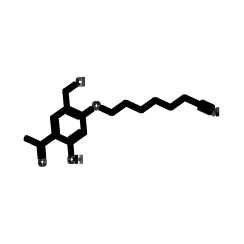 CC(=O)c1cc(CCl)c(OCCCCCCC#N)cc1O